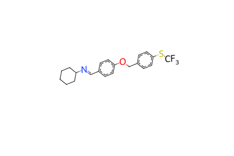 FC(F)(F)Sc1ccc(COc2ccc(/C=N/C3CCCCC3)cc2)cc1